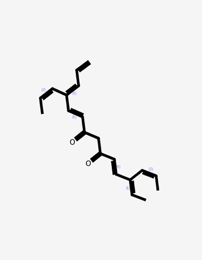 C=C/C=C(\C=C/C)/C=C/C(=O)CC(=O)/C=C/C(/C=C\C)=C/C